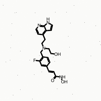 O=C(/C=C/c1ccc(CN(CCO)CCc2ccnc3[nH]ccc23)c(F)c1)NO